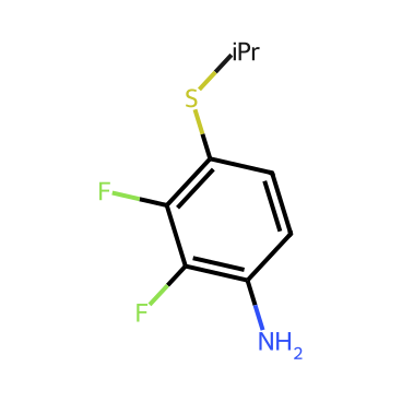 CC(C)Sc1ccc(N)c(F)c1F